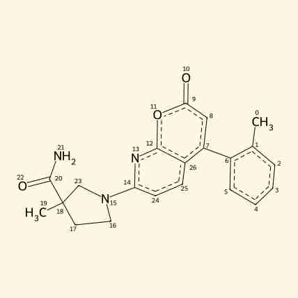 Cc1ccccc1-c1cc(=O)oc2nc(N3CCC(C)(C(N)=O)C3)ccc12